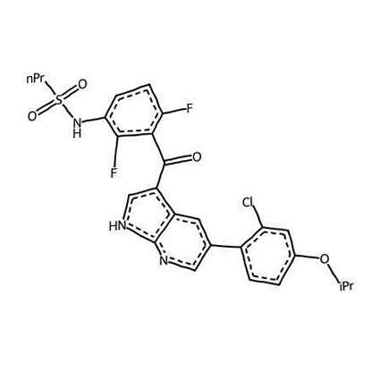 CCCS(=O)(=O)Nc1ccc(F)c(C(=O)c2c[nH]c3ncc(-c4ccc(OC(C)C)cc4Cl)cc23)c1F